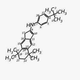 CC(C)(C)c1ccc(NC2=Cc3cc4c(cc3C2)C(C)(C)CCC4(C)C)cc1